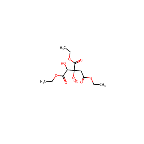 CCOC(=O)CC(OO)(C(=O)OCC)C(O)C(=O)OCC